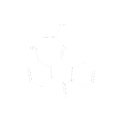 CC1CNc2cccc([N+](=O)[O-])c2C(c2ccccc2)=N1